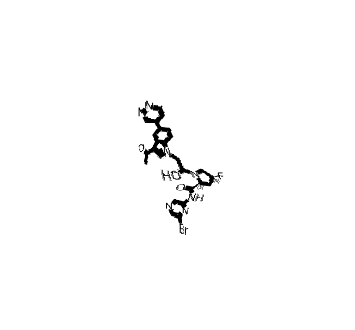 CC(=O)c1cn(CC(O)N2C[C@H](F)C[C@H]2C(=O)Nc2cncc(Br)n2)c2ccc(-c3ccnnc3)cc12